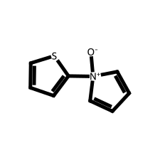 [O-][N+]1(c2cccs2)C=CC=C1